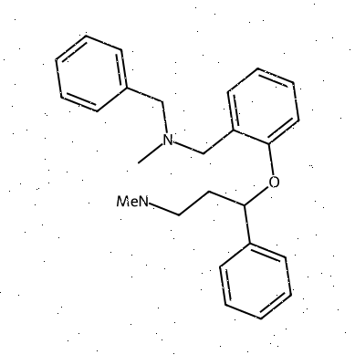 CNCCC(Oc1ccccc1CN(C)Cc1ccccc1)c1ccccc1